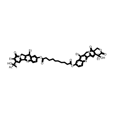 CCc1c([C@@](O)(I)C(C)=O)cc2n(c1=O)Cc1c-2nc2ccc(OC(=O)CCCCCCCCC(=O)Oc3ccc4nc5c(c(CC)c4c3)Cn3c-5cc4c(c3=O)COC(=O)[C@]4(O)CC)cc2c1CC